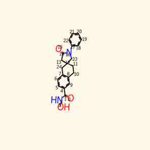 O=C(NO)c1ccc2c(c1)CC[C@]1(CC(=O)N(c3ccccc3)C1)C2